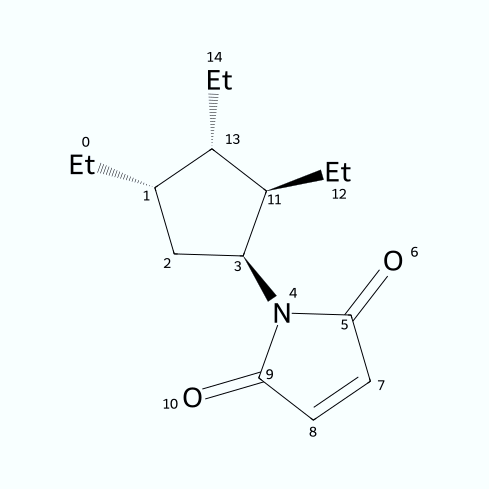 CC[C@H]1C[C@H](N2C(=O)C=CC2=O)[C@H](CC)[C@H]1CC